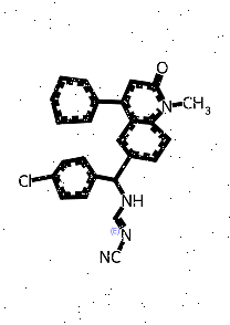 Cn1c(=O)cc(-c2ccccc2)c2cc(C(N/C=N/C#N)c3ccc(Cl)cc3)ccc21